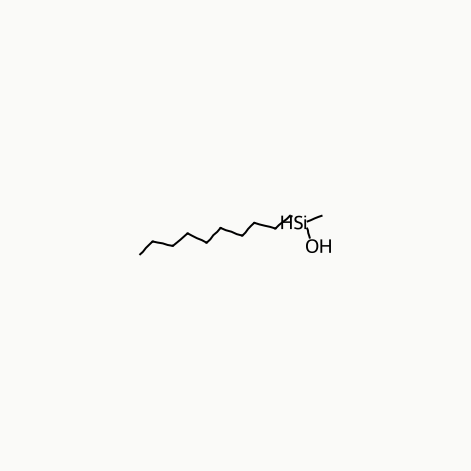 CCCCCCCCCC[SiH](C)O